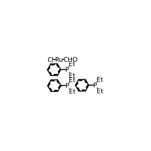 CCP(CC)c1ccccc1.CCP(CC)c1ccccc1.CCP(CC)c1ccccc1.O=[CH][Ru][Cl]